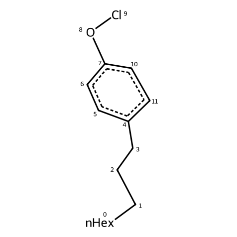 CCCCCCCCCc1ccc(OCl)cc1